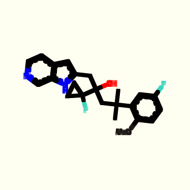 COc1ccc(F)cc1C(C)(C)CC(O)(Cc1cc2ccncc2[nH]1)C1(F)CC1